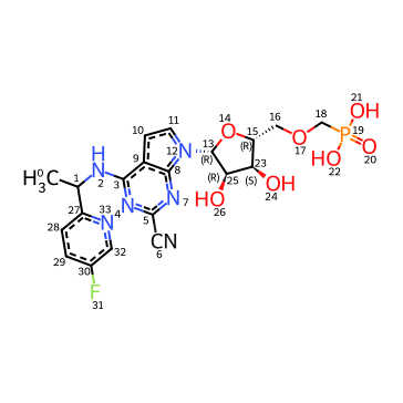 CC(Nc1nc(C#N)nc2c1ccn2[C@@H]1O[C@H](COCP(=O)(O)O)[C@@H](O)[C@H]1O)c1ccc(F)cn1